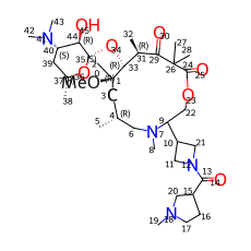 CO[C@]1(C)C[C@@H](C)CN(C)C(C2CN(C(=O)C3CCN(C)C3)C2)COC(=O)C(C)(C)C(=O)[C@H](C)[C@H]1O[C@@H]1O[C@H](C)C[C@H](N(C)C)[C@H]1O